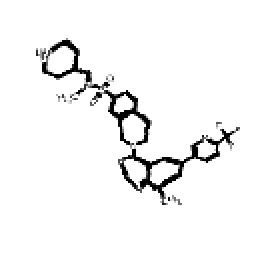 Cc1cc(-c2ccc(C(F)(F)F)nc2)cc2c(N3CCc4ccc(S(=O)(=O)N(C)CC5CCNCC5)cc4C3)ncnc12